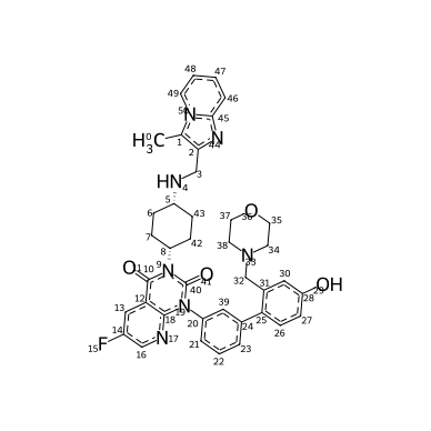 Cc1c(CN[C@H]2CC[C@@H](n3c(=O)c4cc(F)cnc4n(-c4cccc(-c5ccc(O)cc5CN5CCOCC5)c4)c3=O)CC2)nc2ccccn12